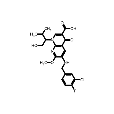 COc1nc2c(cc1NCc1ccc(F)c(Cl)c1)c(=O)c(C(=O)O)cn2C(CO)C(C)C